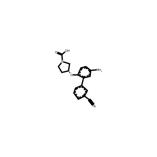 N#Cc1cccc(-c2cc(N)ccc2O[C@@H]2CCN(C(=O)O)C2)c1